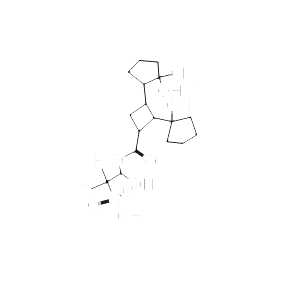 CC1(O)CCCC1C1CC(C(=O)OC(O)C(F)(F)S(=O)(=O)O)C1C1(O)CCCC1